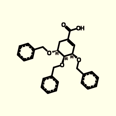 O=C(O)C1=C[C@@H](OCc2ccccc2)[C@@H](OCc2ccccc2)[C@H](OCc2ccccc2)C1